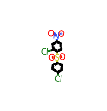 O=[N+]([O-])c1ccc(S(=O)(=O)c2ccc(Cl)cc2)c(Cl)c1